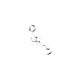 O=C(NCc1nccs1)[C@@]1(O)CCN(c2ccccc2)C1=O